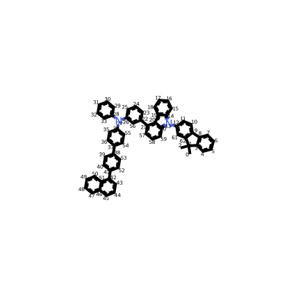 CC1(C)c2ccccc2-c2ccc(-n3c4ccccc4c4c(-c5cccc(N(c6ccccc6)c6ccc(-c7ccc(-c8cccc9ccccc89)cc7)cc6)c5)cccc43)cc21